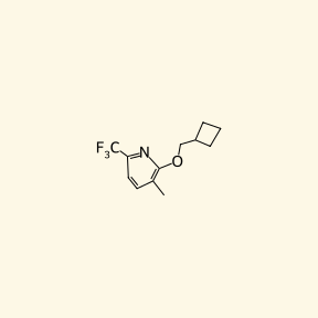 Cc1ccc(C(F)(F)F)nc1OCC1CCC1